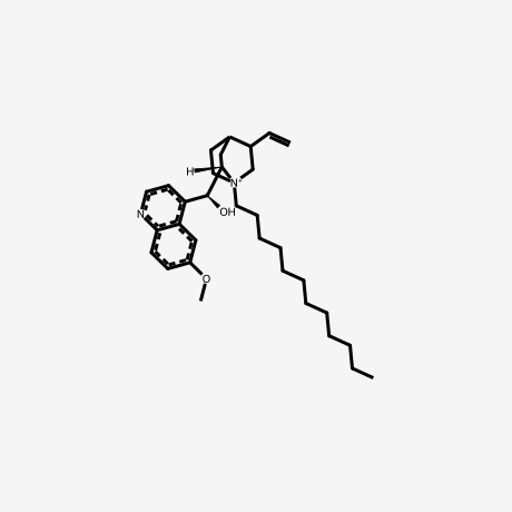 C=CC1C[N+]2(CCCCCCCCCCCC)CCC1C[C@H]2[C@@H](O)c1ccnc2ccc(OC)cc12